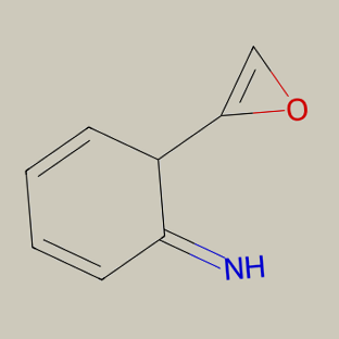 N=C1C=CC=CC1C1=CO1